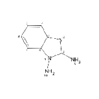 NC1SC2C=CC=CC2N1N